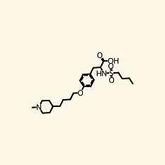 CCCCS(=O)(=O)NC(Cc1ccc(OCCCCC2CCN(C)CC2)cc1)C(=O)O